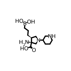 N[C@]1(C(=O)O)CN(C2CCCNC2)C[C@@H]1CCCB(O)O